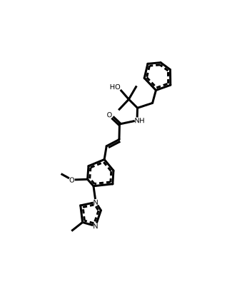 COc1cc(C=CC(=O)NC(Cc2ccccc2)C(C)(C)O)ccc1-n1cnc(C)c1